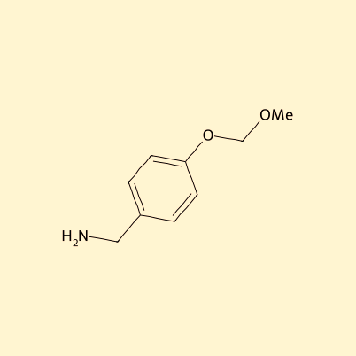 COCOc1ccc(CN)cc1